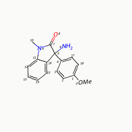 COc1ccc(C2(N)C(=O)N(C)c3ccccc32)cc1